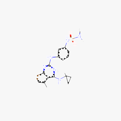 CCN(CC)S(=O)(=O)Nc1cccc(Nc2nc(NC3(C)CC3)c3c(C)csc3n2)c1